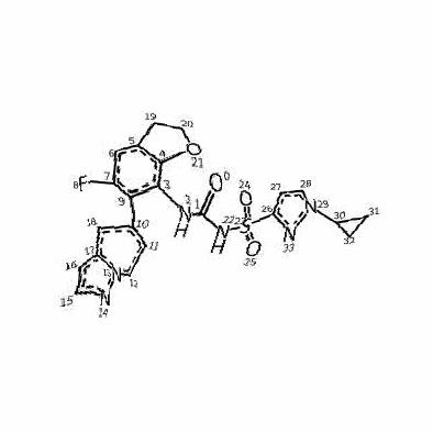 O=C(Nc1c2c(cc(F)c1-c1ccn3nccc3c1)CCO2)NS(=O)(=O)c1ccn(C2CC2)n1